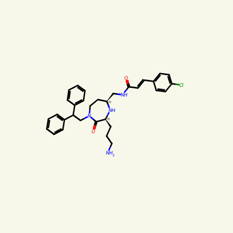 NCCC[C@@H]1N[C@H](CNC(=O)C=Cc2ccc(Cl)cc2)CCN(CC(c2ccccc2)c2ccccc2)C1=O